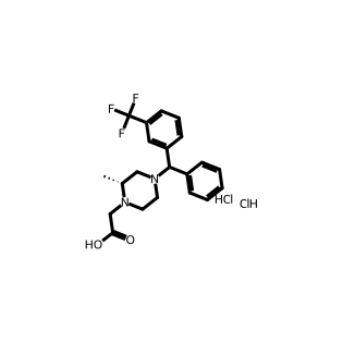 C[C@@H]1CN(C(c2ccccc2)c2cccc(C(F)(F)F)c2)CCN1CC(=O)O.Cl.Cl